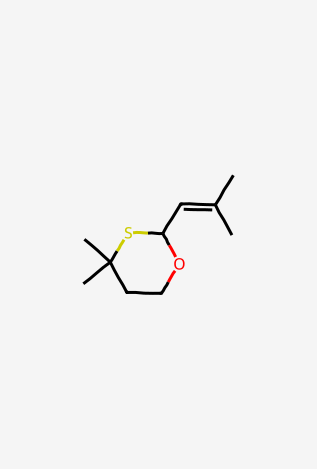 CC(C)=CC1OCCC(C)(C)S1